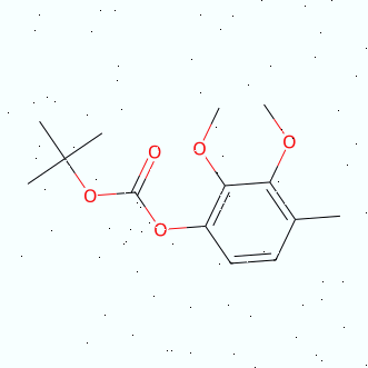 COc1c(C)ccc(OC(=O)OC(C)(C)C)c1OC